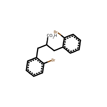 O=C(O)C(Cc1ccccc1Br)Cc1ccccc1Br